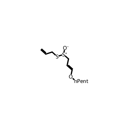 C=CCS[S+]([O-])CC=COCCCCC